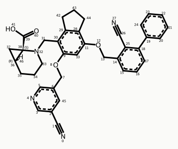 N#Cc1cncc(COc2cc(OCc3cccc(-c4ccccc4)c3C#N)c3c(c2CN2CCC[C@@H]4C[C@@]42C(=O)O)CCC3)c1